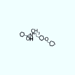 C[C@H](CCc1ccc(OCc2ccccc2)cc1)NC[C@@H](O)c1ccccc1